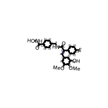 COc1cc(/C=C(/C(=O)NCc2ccc(C(=O)NO)cc2)c2ccc(F)cc2)cc(O)c1OC